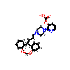 O=C(O)Oc1cccnc1N1CCN(CCC=C2c3ccccc3OCOc3ccccc32)CC1